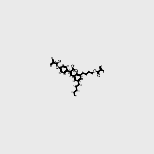 C=C(C)C(=O)OCCCCc1cc(CCCCC)cc2cc(-c3ccc(OC(=O)C(=C)C)cc3)c(=O)oc12